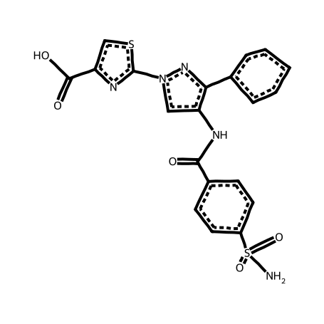 NS(=O)(=O)c1ccc(C(=O)Nc2cn(-c3nc(C(=O)O)cs3)nc2-c2ccccc2)cc1